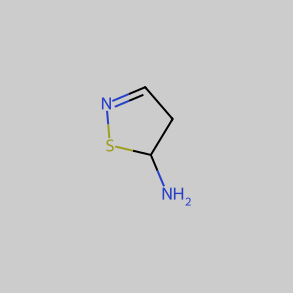 NC1CC=NS1